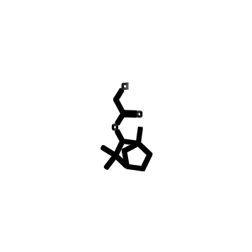 CC12CCC(C1)C(C)(C)C2OC(=O)CCl